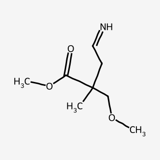 COCC(C)(CC=N)C(=O)OC